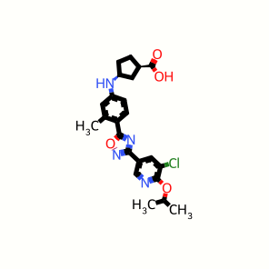 Cc1cc(N[C@H]2CC[C@@H](C(=O)O)C2)ccc1-c1nc(-c2cnc(OC(C)C)c(Cl)c2)no1